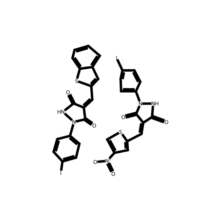 O=C1NN(c2ccc(I)cc2)C(=O)C1=Cc1cc([N+](=O)[O-])cs1.O=C1NN(c2ccc(I)cc2)C(=O)C1=Cc1cc2ccccc2s1